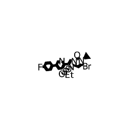 CCS(=O)(=O)c1cc(-c2ccc(F)cc2)cnc1-c1cn2c(=O)n(C3CC3)c(Br)cc2n1